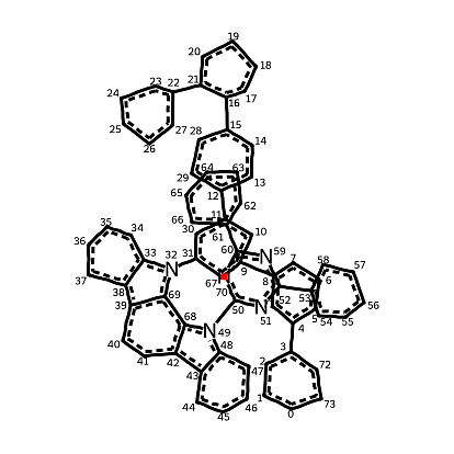 c1ccc(-c2cccc(-c3cc(-c4ccc(-c5ccccc5-c5ccccc5)cc4)cc(-n4c5ccccc5c5ccc6c7ccccc7n(-c7nc(-c8ccccc8)nc(-c8ccccc8)n7)c6c54)c3)c2)cc1